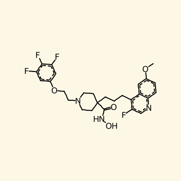 COc1ccc2ncc(F)c(CCCC3(C(=O)NO)CCN(CCOc4cc(F)c(F)c(F)c4)CC3)c2c1